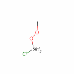 COO[SiH2]Cl